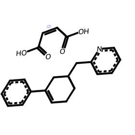 C1=C(c2ccccc2)CC(Cc2ccccn2)CC1.O=C(O)/C=C\C(=O)O